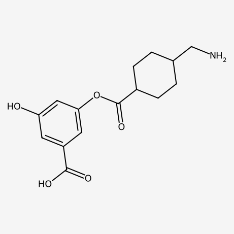 NCC1CCC(C(=O)Oc2cc(O)cc(C(=O)O)c2)CC1